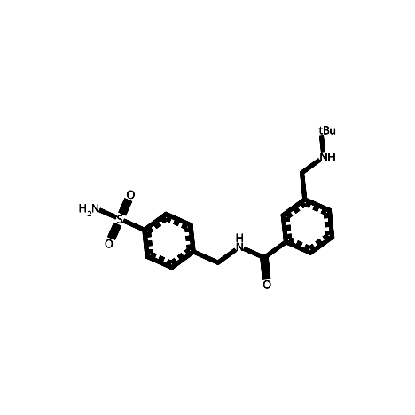 CC(C)(C)NCc1cccc(C(=O)NCc2ccc(S(N)(=O)=O)cc2)c1